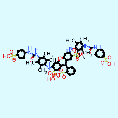 Cc1c(C)c(NC(=O)Nc2ccc(S(=O)(=O)O)cc2)c(C)c(C)c1/N=c1/cc2oc3cc(Nc4c(C)c(C)c(NC(=O)Nc5ccc(S(=O)(=O)O)cc5)c(C)c4C)c(S(=O)(=O)O)cc3c(-c3ccccc3S(=O)(=O)O)c-2cc1S(=O)(=O)O